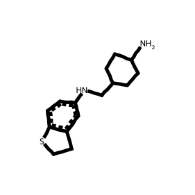 NC1CCC(CNc2ccc3c(c2)CCS3)CC1